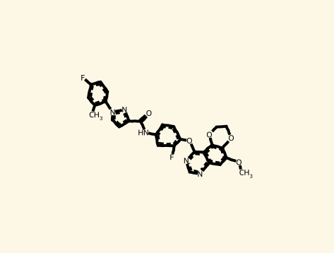 COc1cc2ncnc(Oc3ccc(NC(=O)c4ccn(-c5ccc(F)cc5C)n4)cc3F)c2c2c1OCCO2